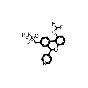 NS(=O)(=O)Cc1ccc2c(c1)C(c1ccncc1)Oc1cccc(OC(F)F)c1-2